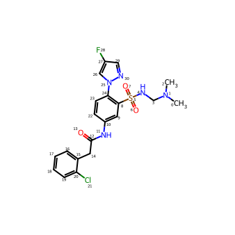 CN(C)CNS(=O)(=O)c1cc(NC(=O)Cc2ccccc2Cl)ccc1-n1cc(F)cn1